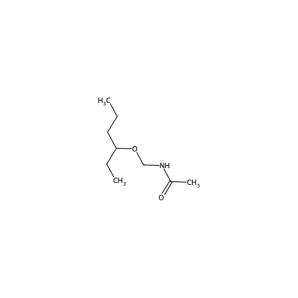 CCCC(CC)OCNC(C)=O